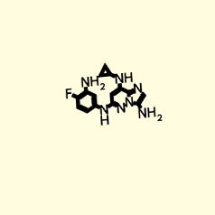 Nc1cc(Nc2cc(NC3CC3)c3ncc(N)n3n2)ccc1F